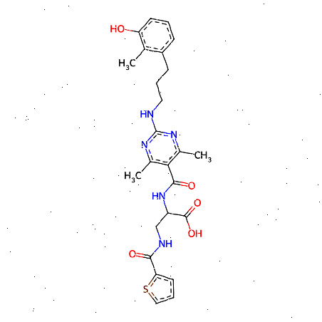 Cc1nc(NCCCc2cccc(O)c2C)nc(C)c1C(=O)NC(CNC(=O)c1cccs1)C(=O)O